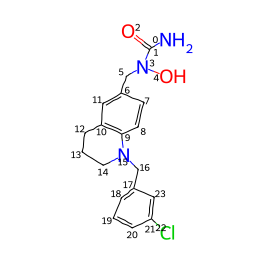 NC(=O)N(O)Cc1ccc2c(c1)CCCN2Cc1cccc(Cl)c1